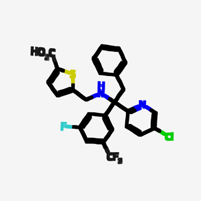 O=C(O)c1ccc(CNC(Cc2ccccc2)(c2cc(F)cc(C(F)(F)F)c2)c2ccc(Cl)cn2)s1